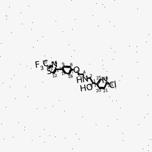 O[C@@H](CNCCOc1ccc(-c2csc(C(F)(F)F)n2)cc1)c1ccc(Cl)nc1